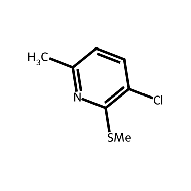 CSc1nc(C)ccc1Cl